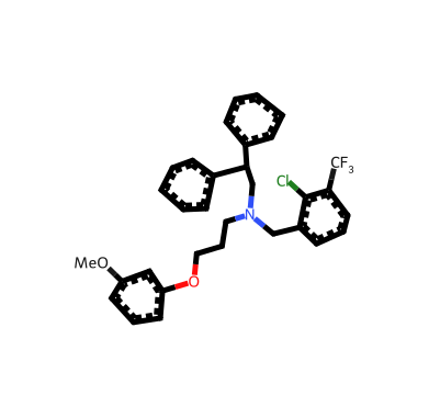 COc1cccc(OCCCN(Cc2cccc(C(F)(F)F)c2Cl)CC(c2ccccc2)c2ccccc2)c1